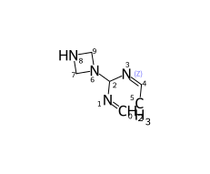 C=NC(/N=C\C)N1CNC1